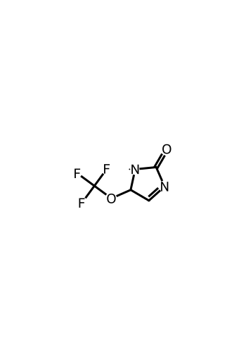 O=C1[N]C(OC(F)(F)F)C=N1